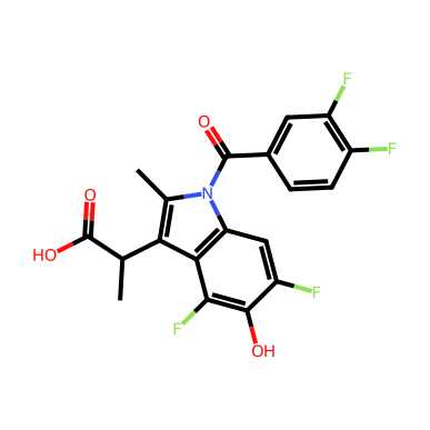 Cc1c(C(C)C(=O)O)c2c(F)c(O)c(F)cc2n1C(=O)c1ccc(F)c(F)c1